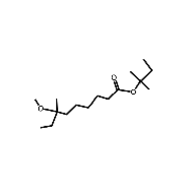 CCC(C)(C)OC(=O)CCCCCC(C)(CC)OC